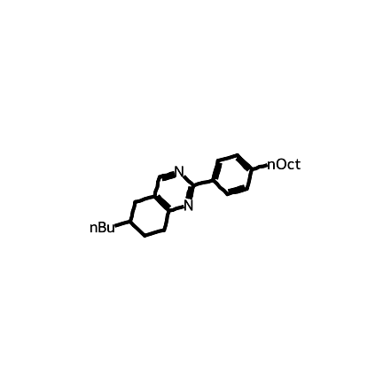 CCCCCCCCc1ccc(-c2ncc3c(n2)CCC(CCCC)C3)cc1